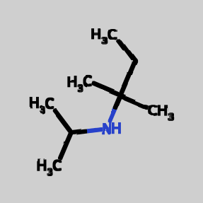 CCC(C)(C)NC(C)C